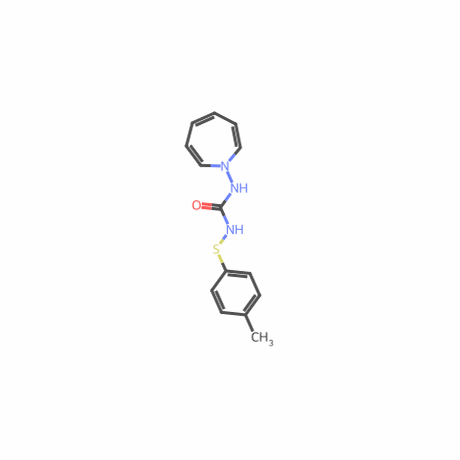 Cc1ccc(SNC(=O)NN2C=CC=CC=C2)cc1